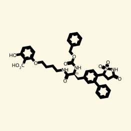 O=C1CC(c2ccc(C[C@H](NC(=O)OCc3ccccc3)C(=O)NCCCCOc3cccc(O)c3C(=O)O)cc2-c2ccccc2)S(=O)(=O)N1